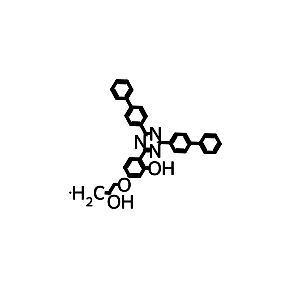 [CH2]C(O)COc1ccc(-c2nc(-c3ccc(-c4ccccc4)cc3)nc(-c3ccc(-c4ccccc4)cc3)n2)c(O)c1